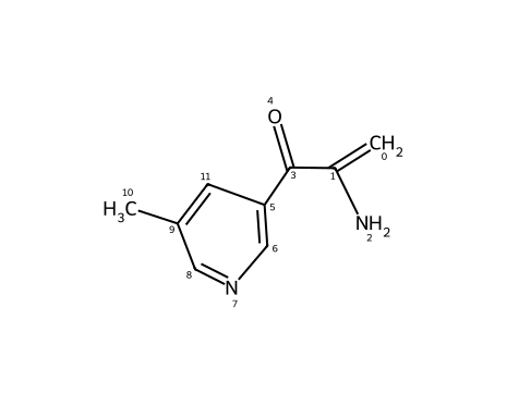 C=C(N)C(=O)c1cncc(C)c1